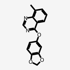 Cc1cccc2c(Oc3ccc4c(c3)OCO4)ncnc12